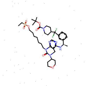 CCS(=O)(=O)OCCCCCCCN1C(=O)N(C2CCOCC2)Cc2c(N[C@H](C)c3cccc(C(F)(F)C4CCN(C(=O)OC(C)(C)C)CC4)c3)ncnc21